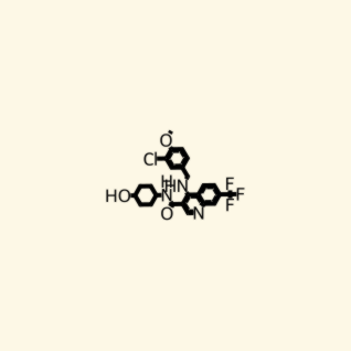 COc1ccc(CNc2c(C(=O)NC3CCC(O)CC3)cnc3cc(C(F)(F)F)ccc23)cc1Cl